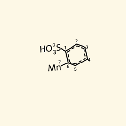 O=S(=O)(O)c1cccc[c]1[Mn]